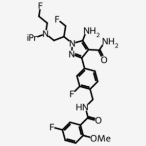 COc1ccc(F)cc1C(=O)NCc1ccc(-c2nn(C(CF)CN(CCF)C(C)C)c(N)c2C(N)=O)cc1F